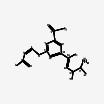 C=C(C)/C=C\Cc1cc(C(=C)C)cc(/C(C)=C/C(C)C(C)P)c1